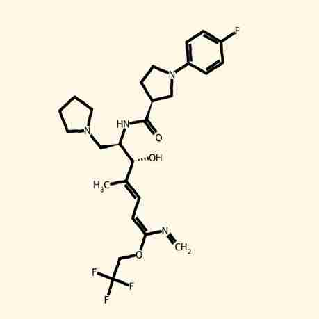 C=N/C(=C\C=C(/C)[C@@H](O)[C@@H](CN1CCCC1)NC(=O)[C@H]1CCN(c2ccc(F)cc2)C1)OCC(F)(F)F